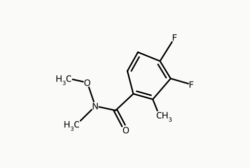 CON(C)C(=O)c1ccc(F)c(F)c1C